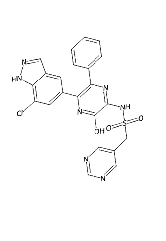 O=S(=O)(Cc1cncnc1)Nc1nc(-c2ccccc2)c(-c2cc(Cl)c3[nH]ncc3c2)nc1O